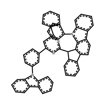 c1ccc(-c2cc(-c3cccc(-n4c5ccccc5c5ccccc54)c3)nc(C3c4ccccc4-c4ccc5c6ccccc6n(-c6ccccc6)c5c43)n2)cc1